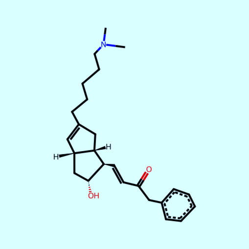 CN(C)CCCCCC1=C[C@H]2C[C@@H](O)[C@H](/C=C/C(=O)Cc3ccccc3)[C@H]2C1